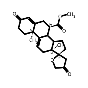 COC(=O)[C@@H]1CC2=CC(=O)CC[C@]2(C)C2=CC[C@@]3(C)C(CC[C@]34CC(=O)CO4)C21